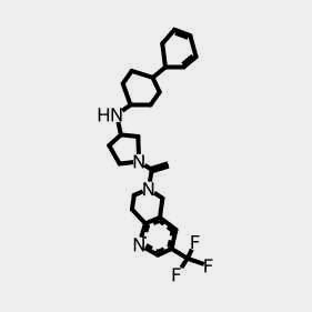 C=C(N1CCc2ncc(C(F)(F)F)cc2C1)N1CCC(NC2CCC(C3C=CC=CC3)CC2)C1